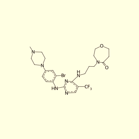 CN1CCN(c2ccc(Nc3ncc(C(F)(F)F)c(NCCCN4CCOCCC4=O)n3)c(Br)c2)CC1